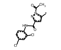 CC(=O)n1nc(C(=O)Nc2ccc(Cl)cc2Cl)cc1F